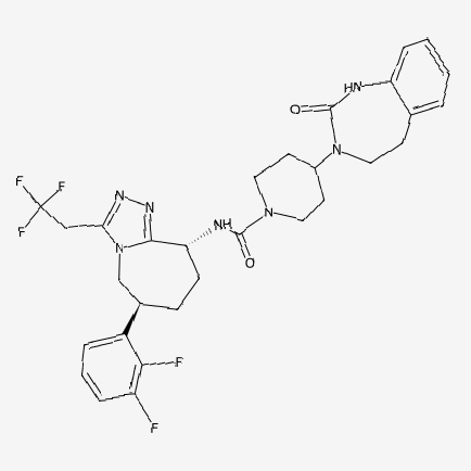 O=C(N[C@@H]1CC[C@@H](c2cccc(F)c2F)Cn2c(CC(F)(F)F)nnc21)N1CCC(N2CCc3ccccc3NC2=O)CC1